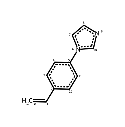 C=Cc1ccc(-n2ccnc2)cc1